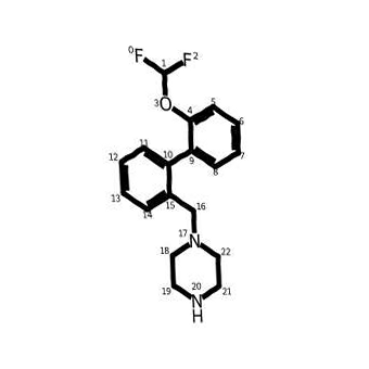 FC(F)Oc1ccccc1-c1ccccc1CN1CCNCC1